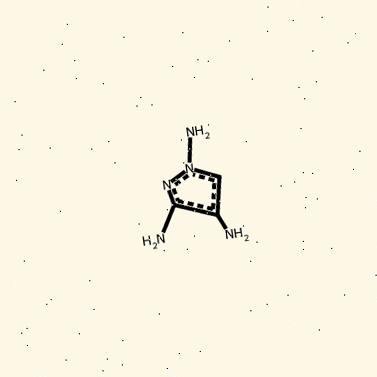 Nc1cn(N)nc1N